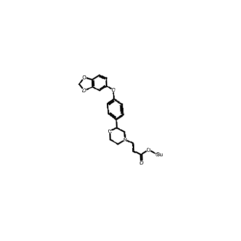 CC(C)(C)OC(=O)CCN1CCOC(c2ccc(Oc3ccc4c(c3)OCO4)cc2)C1